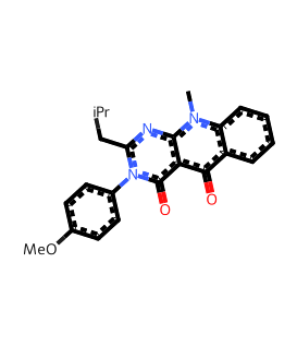 COc1ccc(-n2c(CC(C)C)nc3c(c(=O)c4ccccc4n3C)c2=O)cc1